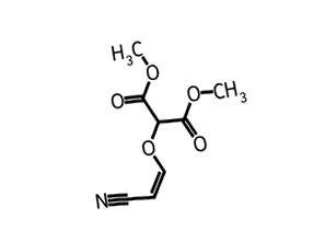 COC(=O)C(O/C=C\C#N)C(=O)OC